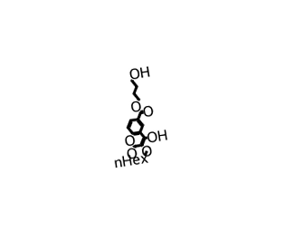 CCCCCCOc1c(O)c2cc(C(=O)OCCCCO)ccc2oc1=O